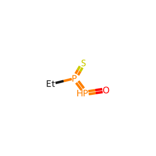 CCP(=S)=[PH]=O